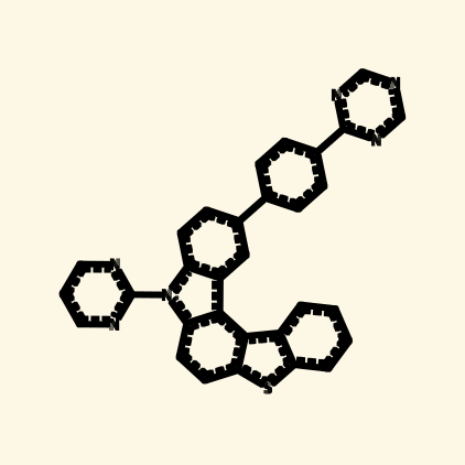 c1cnc(-n2c3ccc(-c4ccc(-c5ncncn5)cc4)cc3c3c4c(ccc32)sc2ccccc24)nc1